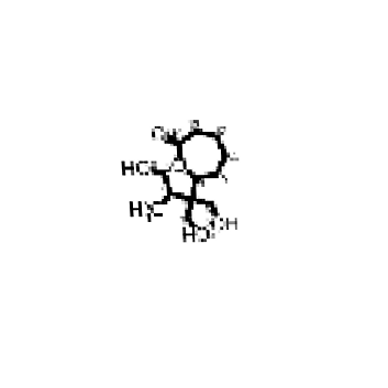 CC(CO)C(CO)(CO)C1CCCCC(=O)O1